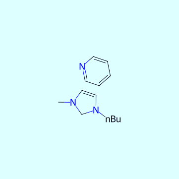 CCCCN1C=CN(C)C1.c1ccncc1